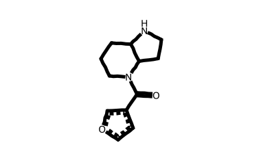 O=C(c1ccoc1)N1CCCC2NCCC21